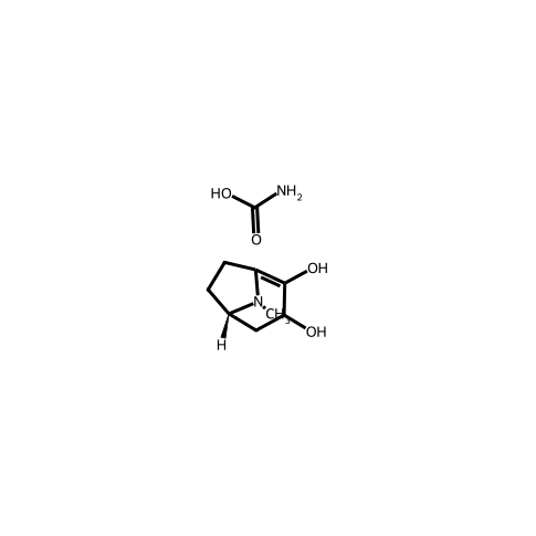 CN1C2=C(O)C(O)C[C@@H]1CC2.NC(=O)O